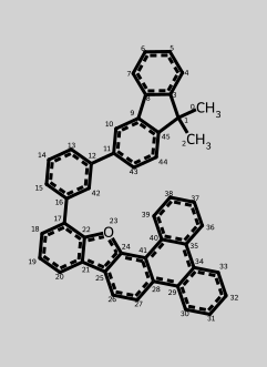 CC1(C)c2ccccc2-c2cc(-c3cccc(-c4cccc5c4oc4c5ccc5c6ccccc6c6ccccc6c54)c3)ccc21